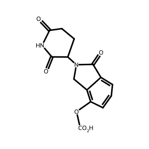 O=C1CCC(N2Cc3c(OC(=O)O)cccc3C2=O)C(=O)N1